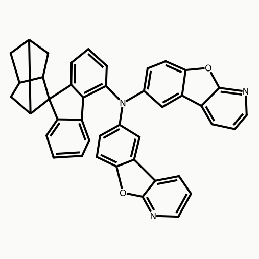 c1ccc2c(c1)-c1c(N(c3ccc4oc5ncccc5c4c3)c3ccc4oc5ncccc5c4c3)cccc1C21C2CC3CC2CC31